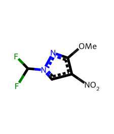 COc1nn(C(F)F)cc1[N+](=O)[O-]